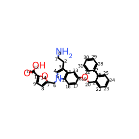 NCCc1cn(Cc2ccc(C(=O)O)o2)c2ccc(OCc3ccccc3-c3ccccc3)cc12